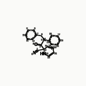 N#CC1(C(=O)N(Cc2ccccc2)c2ccccc2)C=NC=CN1